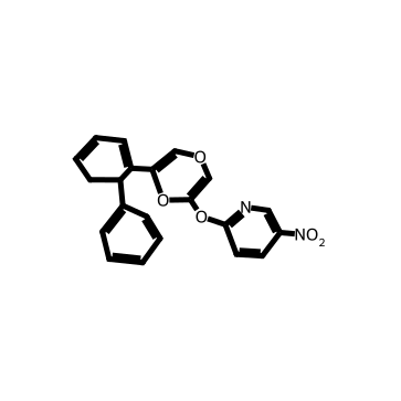 O=[N+]([O-])c1ccc(OC2=COC=C(C3=CC=CCC3c3ccccc3)O2)nc1